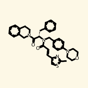 Cc1nc(/C=C/C(=O)N(Cc2ccc(N3CCOCC3)cc2)[C@@H](Cc2ccccc2)C(=O)N2CCc3ccccc3C2)cs1